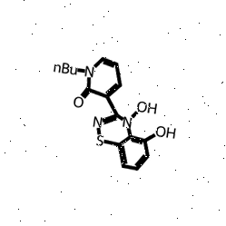 CCCCn1cccc(C2=NSc3cccc(O)c3N2O)c1=O